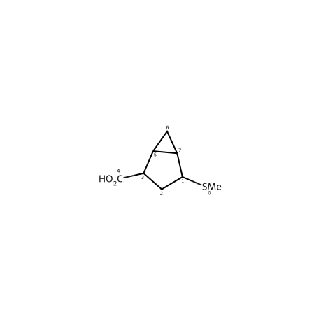 CSC1CC(C(=O)O)C2CC12